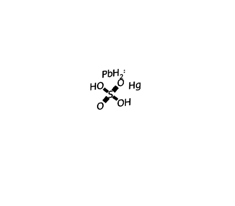 O=S(=O)(O)O.[Hg].[PbH2]